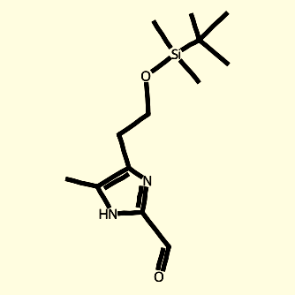 Cc1[nH]c(C=O)nc1CCO[Si](C)(C)C(C)(C)C